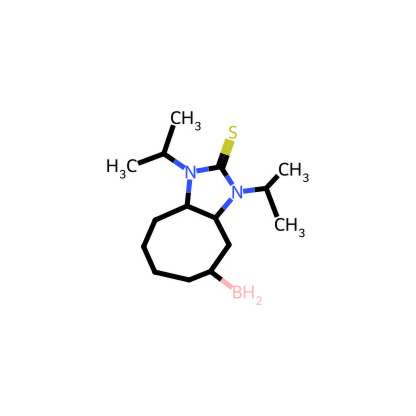 BC1CCCCC2C(C1)N(C(C)C)C(=S)N2C(C)C